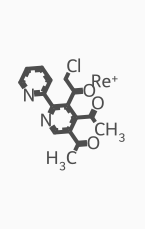 CC(=O)c1cnc(-c2ccccn2)c(C(=O)CCl)c1C(C)=O.[Re+]